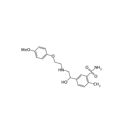 COc1ccc(OCCNCC(O)c2ccc(C)c(S(N)(=O)=O)c2)cc1